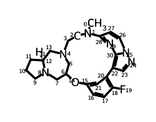 CN1CCN2CC(CN3CCC[C@H]3C2)Oc2ccc(F)c(c2)-c2cnn3ccc1nc23